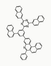 c1ccc(-c2nc3cc(-c4cc(-c5nc(-c6ccc7ccccc7c6)nc(-c6ccc7ccccc7c6)n5)cc(-c5cccc6ccccc56)c4)ccc3c3c2ccc2ccccc23)cc1